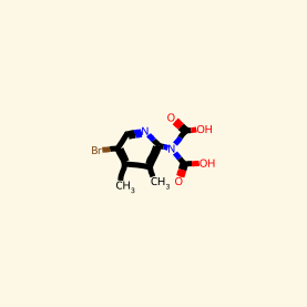 Cc1c(Br)cnc(N(C(=O)O)C(=O)O)c1C